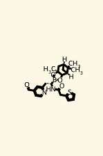 CC1(C)[C@@H]2C[C@H]1C1OB([C@@H](Cc3cc(C=O)ccn3)NC(=O)Cc3cccs3)O[C@@]1(C)C2